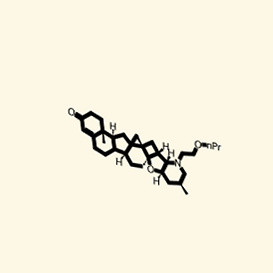 CCCOCCN1C[C@@H](C)C[C@H]2O[C@@]34CC[C@H]5C6CCC7=CC(=O)CC[C@]7(C)[C@H]6CC56C[C@]63C[C@@H]4[C@@H]21